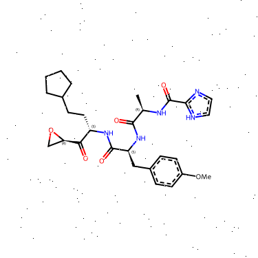 COc1ccc(C[C@H](NC(=O)[C@@H](C)NC(=O)c2ncc[nH]2)C(=O)N[C@@H](CCC2CCCC2)C(=O)[C@H]2CO2)cc1